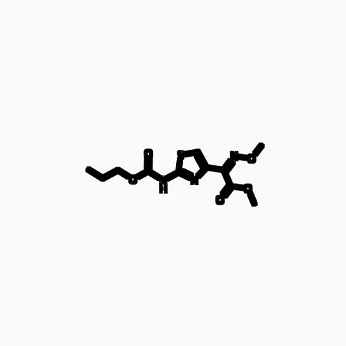 CCCOC(=O)Nc1nc(C(=NOC)C(=O)OC)cs1